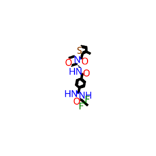 Cc1ccsc1C(=O)N1CCOC[C@H]1CNC(=O)c1ccc(C(=N)NC(=O)C(C)(F)F)cc1